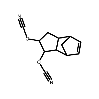 N#COC1CC2C3C=CC(C3)C2C1OC#N